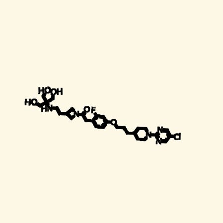 O=C(Cc1ccc(OCCCC2CCN(c3ncc(Cl)cn3)CC2)cc1F)N1CC(CCNC(CO)(CO)CO)C1